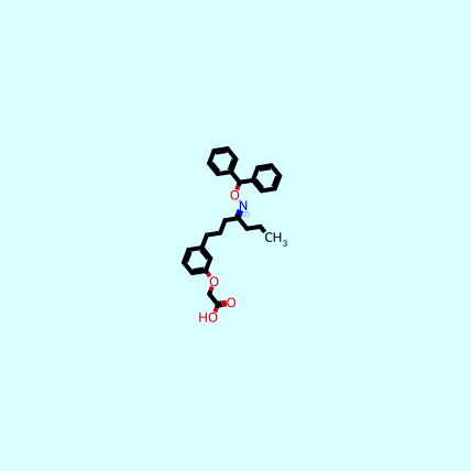 CCC/C(CCCc1cccc(OCC(=O)O)c1)=N/OC(c1ccccc1)c1ccccc1